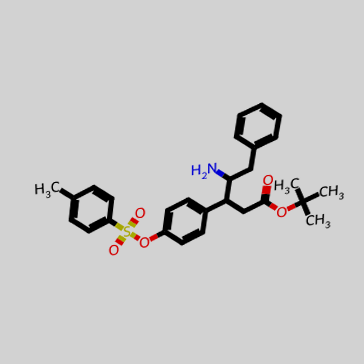 Cc1ccc(S(=O)(=O)Oc2ccc(C(CC(=O)OC(C)(C)C)C(N)Cc3ccccc3)cc2)cc1